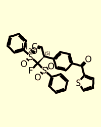 C=C[C@@H](c1ccc(C(=O)c2cccs2)cc1)C(F)(S(=O)(=O)c1ccccc1)S(=O)(=O)c1ccccc1